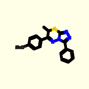 COc1ccc(C2=Nn3c(nnc3-c3ccccc3)SC2C)cc1